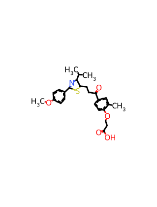 COc1ccc(C2=NC(C(C)C)C(CCC(=O)c3ccc(OCCC(=O)O)c(C)c3)S2)cc1